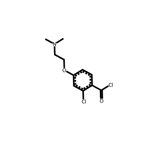 CN(C)CCOc1ccc(C(=O)Cl)c(Cl)c1